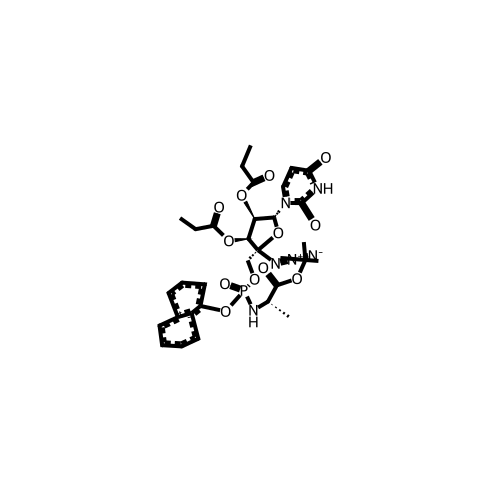 CCC(=O)O[C@H]1[C@H](n2ccc(=O)[nH]c2=O)O[C@@](COP(=O)(N[C@@H](C)C(=O)OC(C)(C)C)Oc2cccc3ccccc23)(N=[N+]=[N-])[C@H]1OC(=O)CC